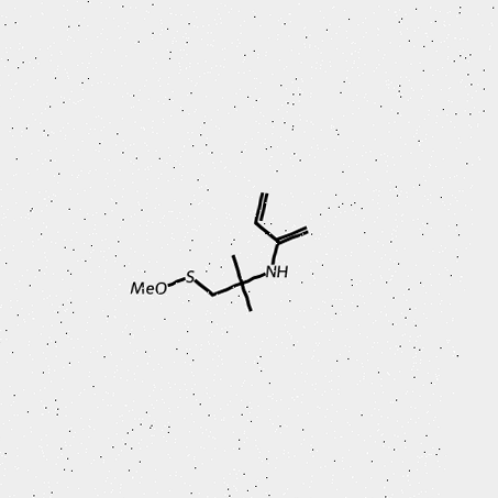 C=CC(=C)NC(C)(C)CSOC